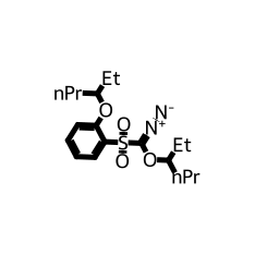 CCCC(CC)OC(=[N+]=[N-])S(=O)(=O)c1ccccc1OC(CC)CCC